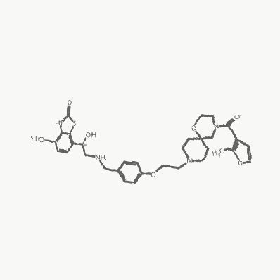 Cc1occc1C(=O)N1CCOC2(CCN(CCOc3ccc(CNC[C@H](O)c4ccc(O)c5[nH]c(=O)sc45)cc3)CC2)C1